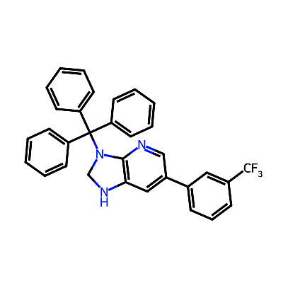 FC(F)(F)c1cccc(-c2cnc3c(c2)NCN3C(c2ccccc2)(c2ccccc2)c2ccccc2)c1